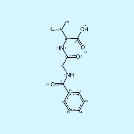 CC(C)C(NC(=O)CNC(=O)c1ccccc1)C(=O)O